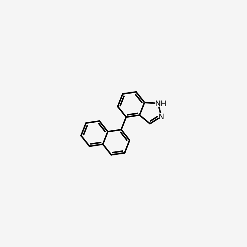 c1ccc2c(-c3cccc4[nH]ncc34)cccc2c1